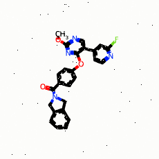 COc1ncc(-c2ccnc(F)c2)c(Oc2ccc(C(=O)N3Cc4ccccc4C3)cc2)n1